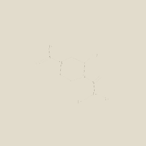 CCN(C)C(=O)N1CCN(C(=O)C(C)C)CC1C